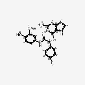 COc1cc(NC(=O)[C@H](Sc2nc(N)nc3nc[nH]c23)c2ccc(F)cc2)ccc1O